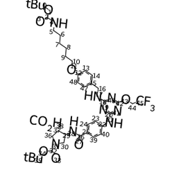 CC(C)(C)OC(=O)NCCCCCCOc1ccc(CNc2nc(Nc3ccc(C(=O)N[C@H]4CN(C(=O)OC(C)(C)C)C[C@@H]4C(=O)O)cc3)nc(OCC(F)(F)F)n2)cc1